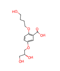 O=C(O)c1cc(OC[C@@H](O)CO)ccc1OCCCCO